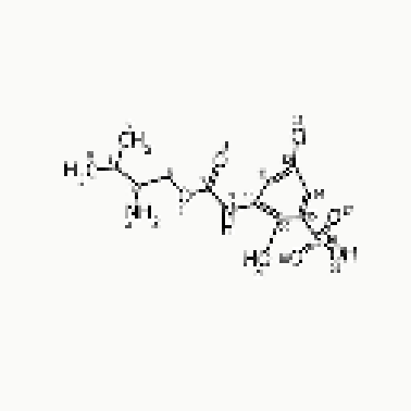 CC(C)C(N)COC(=O)Nc1cc(Cl)cc(S(=O)(=O)O)c1O